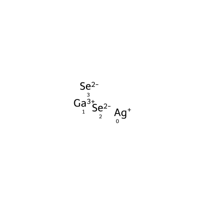 [Ag+].[Ga+3].[Se-2].[Se-2]